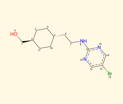 OC[C@H]1CC[C@H](CCNc2ncc(Br)cn2)CC1